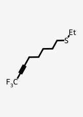 [CH2]CSCCCCCC#CC(F)(F)F